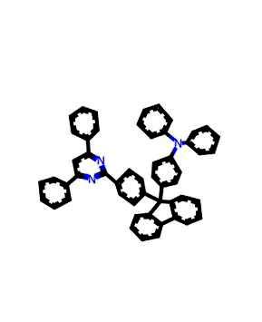 c1ccc(-c2cc(-c3ccccc3)nc(-c3ccc(C4(c5ccc(N(c6ccccc6)c6ccccc6)cc5)c5ccccc5-c5ccccc54)cc3)n2)cc1